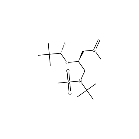 C=S(C)C[C@@H](CN(C(C)(C)C)S(C)(=O)=O)O[C@@H](C)C(C)(C)C